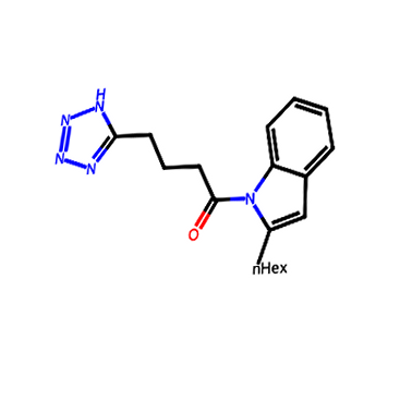 CCCCCCc1cc2ccccc2n1C(=O)CCCc1nnn[nH]1